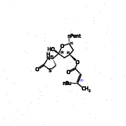 CCCCC[C@@H]1C[C@@H](OC(=O)/C=C(/C)CCCC)C[C@](O)([C@@H]2CSC(=O)N2)O1